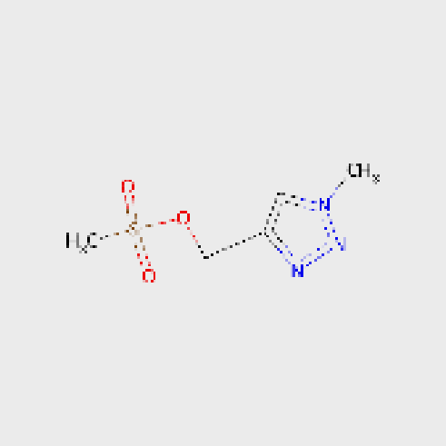 Cn1cc(COS(C)(=O)=O)nn1